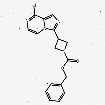 O=C(OCc1ccccc1)N1CC(c2ncc3c(Cl)nccn23)C1